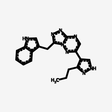 CCCc1n[nH]cc1-c1cnc2nnc(Cc3c[nH]c4ccccc34)n2n1